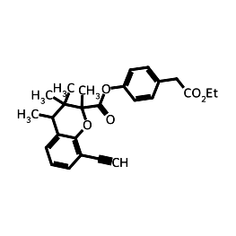 C#Cc1cccc2c1OC(C)(C(=O)Oc1ccc(CC(=O)OCC)cc1)C(C)(C)C2C